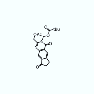 CC(=O)OCc1nc2cc3c(cc2c(=O)n1COC(=O)C(C)(C)C)CCC3=O